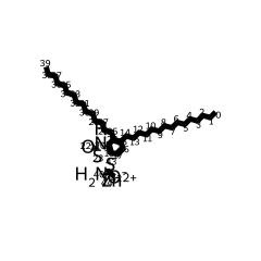 CCCCCCCCCCCCCCCc1cccc(NC([O-])=S)c1CCCCCCCCCCCCCCC.NC([O-])=S.[Zn+2]